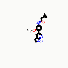 COc1cc(NC(=O)CC2CC2)ccc1-c1cnc2[nH]ccc2c1